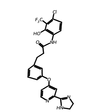 O=C(CCc1cccc(Oc2ccnc(C3=NCCN3)c2)c1)Nc1ccc(Cl)c(C(F)(F)F)c1O